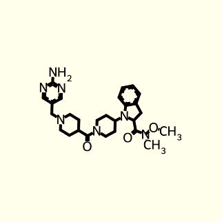 CON(C)C(=O)C1Cc2ccccc2N1C1CCN(C(=O)C2CCN(Cc3cnc(N)nc3)CC2)CC1